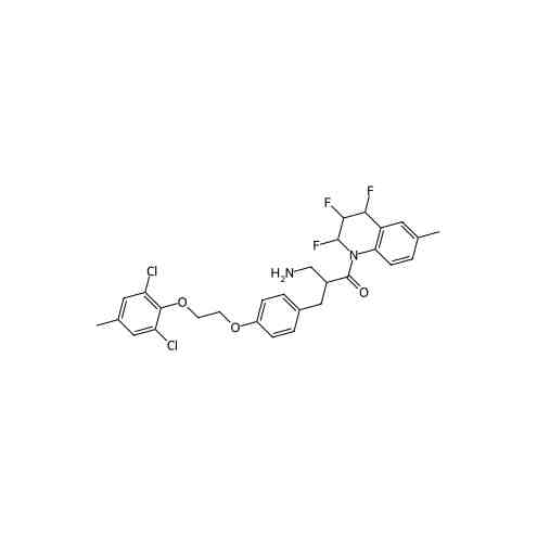 Cc1cc(Cl)c(OCCOc2ccc(CC(CN)C(=O)N3c4ccc(C)cc4C(F)C(F)C3F)cc2)c(Cl)c1